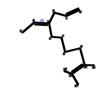 C=CC/C(=C/C)CCCCC(C)=C(C)C